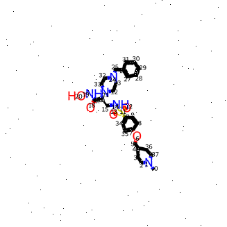 CN1CCC(COc2ccc(S(=O)(=O)NC[C@@H](C(=O)NO)N3CCN(Cc4ccccc4)CC3)cc2)CC1